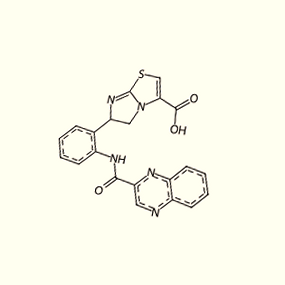 O=C(O)C1=CSC2=NC(c3ccccc3NC(=O)c3cnc4ccccc4n3)CN12